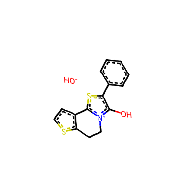 Oc1c(-c2ccccc2)sc2[n+]1CCc1sccc1-2.[OH-]